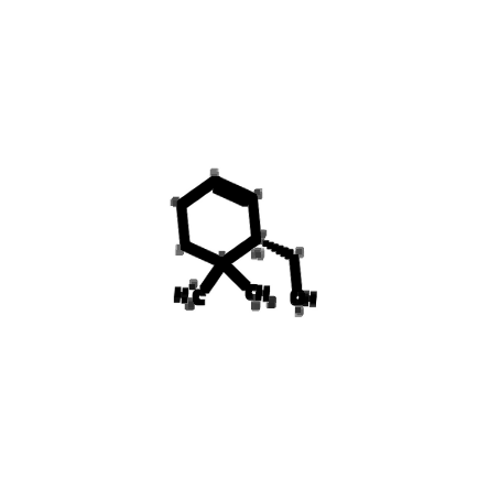 CC1(C)CCC=C[C@@H]1CO